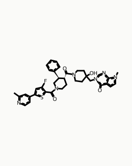 Cc1cc(-c2cc(F)c(C(=O)N3CC[C@@H](C(=O)N4CCC(O)(Cn5cnc6c(ccn6C)c5=O)CC4)[C@H](c4ccccc4)C3)s2)ccn1